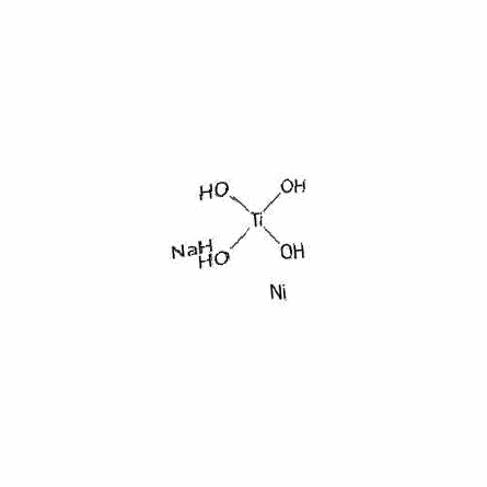 [NaH].[Ni].[OH][Ti]([OH])([OH])[OH]